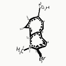 Cn1c(Br)cc2cc(C(=O)O)ccc21